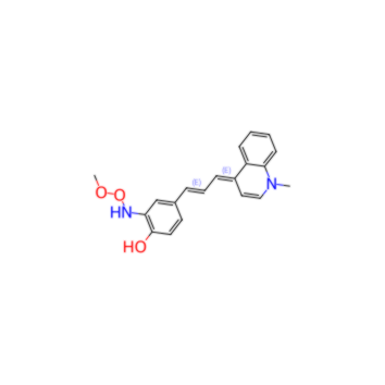 COONc1cc(/C=C/C=C2\C=CN(C)c3ccccc32)ccc1O